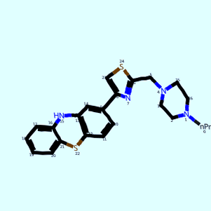 CCCN1CCN(Cc2nc(-c3ccc4c(c3)Nc3ccccc3S4)cs2)CC1